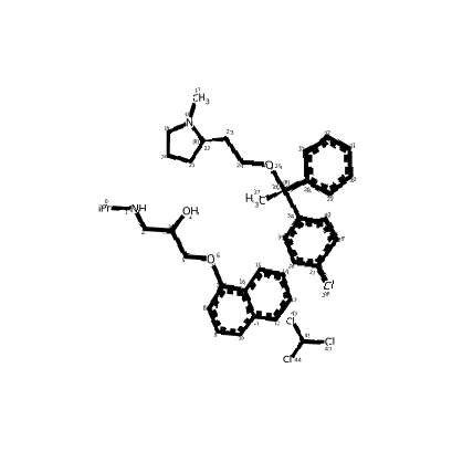 CC(C)NCC(O)COc1cccc2ccccc12.CN1CCC[C@@H]1CCO[C@](C)(c1ccccc1)c1ccc(Cl)cc1.ClC(Cl)Cl